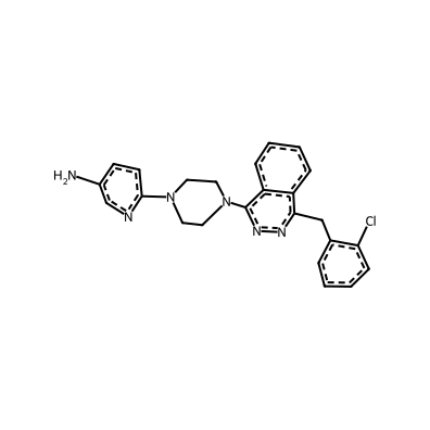 Nc1ccc(N2CCN(c3nnc(Cc4ccccc4Cl)c4ccccc34)CC2)nc1